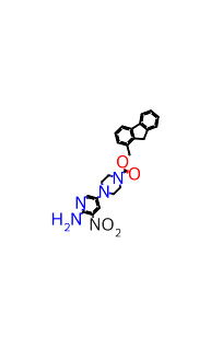 Nc1ncc(N2CCN(C(=O)OCc3cccc4c3Cc3ccccc3-4)CC2)cc1[N+](=O)[O-]